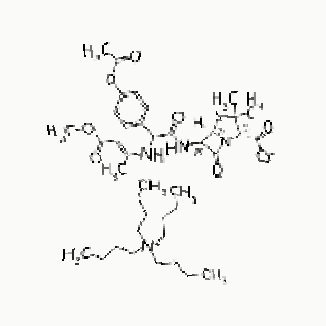 CCCC[N+](CCCC)(CCCC)CCCC.COC(=O)C=C(C)NC(C(=O)N[C@@H]1C(=O)N2[C@@H]1SC(C)(C)[C@@H]2C(=O)[O-])c1ccc(OC(C)=O)cc1